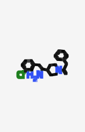 C=C(Cc1ccccc1)N1CCC(C(N)Cc2cccc(Cl)c2)CC1